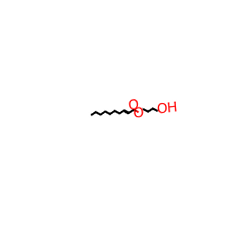 CCCCCCC/C=C/C(=O)OCCCCO